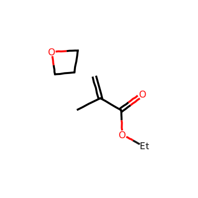 C1COC1.C=C(C)C(=O)OCC